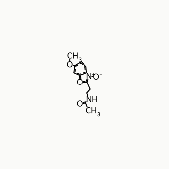 COc1ccc2c(c1)oc(CCNC(C)=O)[n+]2[O-]